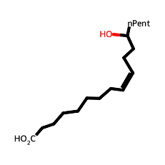 CCCCCC(O)CC/C=C\CCCCCCCC(=O)O